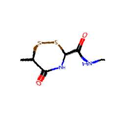 CNC(=O)C1NC(=O)C(C)SS1